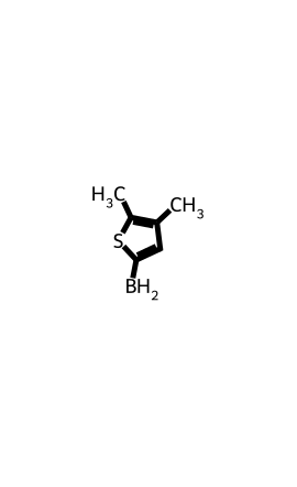 Bc1cc(C)c(C)s1